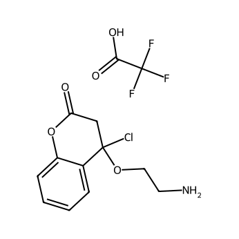 NCCOC1(Cl)CC(=O)Oc2ccccc21.O=C(O)C(F)(F)F